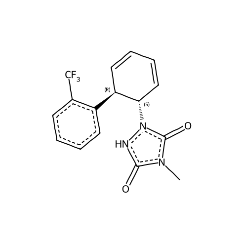 Cn1c(=O)[nH]n([C@H]2C=CC=C[C@@H]2c2ccccc2C(F)(F)F)c1=O